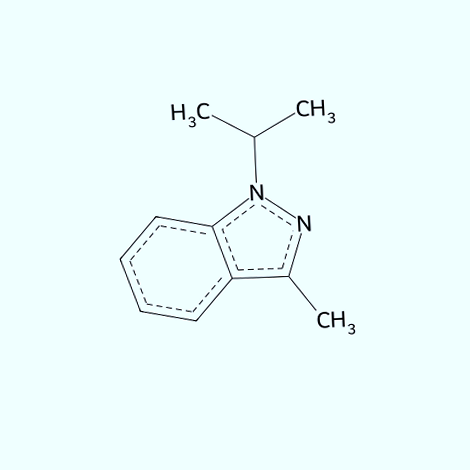 Cc1nn(C(C)C)c2ccccc12